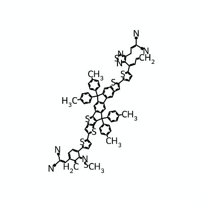 C=C/C=C(/c1ccc(-c2cc3cc4c(cc3s2)C(c2ccc(C)cc2)(c2ccc(C)cc2)c2cc3c(cc2-4)C(c2ccc(C)cc2)(c2ccc(C)cc2)c2c-3sc3cc(-c4ccc(C5=CC=C(C=C(C#N)C#N)C(=C)/C5=N\SC)s4)sc23)s1)c1nsnc1CC=C(C#N)C#N